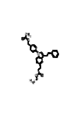 CCOC(=O)CCc1ccc2c(c1)c(CCc1ccccc1)cn2-c1ccc(COC(C)=O)cc1